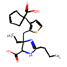 CCCC1=NC(CC)(Cc2sccc2C2(C(=O)O)CC=CC2)C(C(=O)O)N1